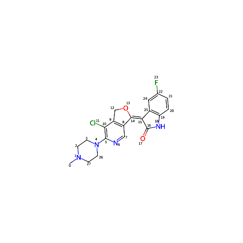 CN1CCN(c2ncc3c(c2Cl)COC3=C2C(=O)Nc3ccc(F)cc32)CC1